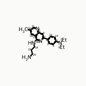 CCN(CC)c1ccc(-c2cc3ncc(C)cc3c(NCCCN)n2)cc1